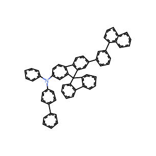 c1ccc(-c2ccc(N(c3ccccc3)c3ccc4c(c3)C3(c5ccccc5-c5ccccc53)c3cc(-c5cccc(-c6cccc7ccccc67)c5)ccc3-4)cc2)cc1